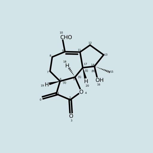 C=C1C(=O)O[C@H]2[C@H]1CCC(C=O)=C1CC[C@@](C)(O)[C@@H]12